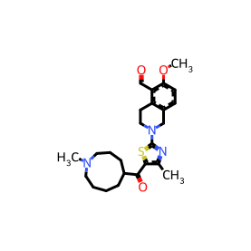 COc1ccc2c(c1C=O)CCN(c1nc(C)c(C(=O)C3CCCCN(C)CCC3)s1)C2